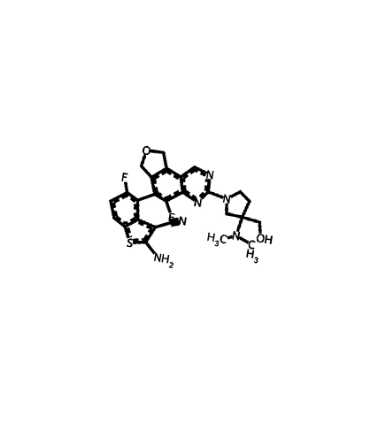 CN(C)C1(CO)CCN(c2ncc3c4c(c(-c5c(F)ccc6sc(N)c(C#N)c56)c(F)c3n2)COC4)C1